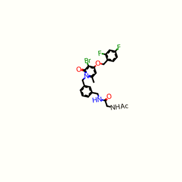 CC(=O)NCC(=O)NCc1cccc(Cn2c(C)cc(OCc3ccc(F)cc3F)c(Br)c2=O)c1